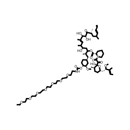 C=C/C=C/C(C)C[C@@H](C)C(=O)[C@H](O)[C@H](O)/C(C)=C/C(C)[C@H](O)CC(OC(=O)[C@@H]1CCCCN1C(=O)C(=O)[C@]1(O)O[C@H](C[C@H](OC)/C(C)=C/C)CC[C@H]1C)[C@H](C)C[C@@H]1CC[C@@H](OC(=O)NCCOCCOCCOCCOCCOCCOCCOCC)[C@H](OC)C1